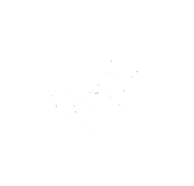 O=C([O-])c1ccccc1O.O=C([O-])c1ccccc1O.O=C([O-])c1ccccc1O.[Dy+3]